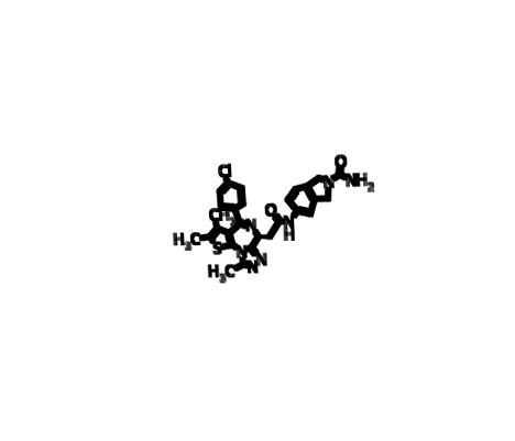 Cc1sc2c(c1C)C(c1ccc(Cl)cc1)=N[C@@H](CC(=O)Nc1ccc3c(c1)CN(C(N)=O)C3)c1nnc(C)n1-2